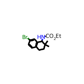 CCOC(=O)NC1c2cc(Br)ccc2CCC1(C)C